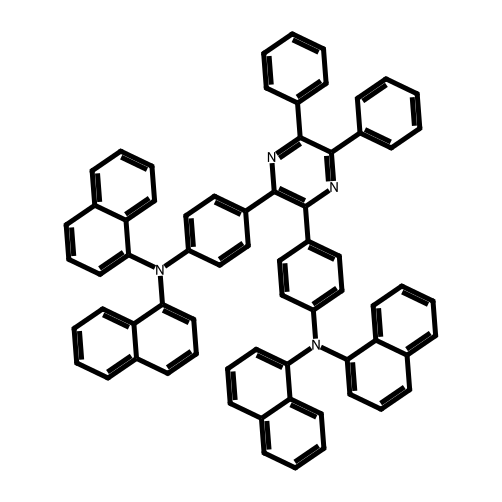 c1ccc(-c2nc(-c3ccc(N(c4cccc5ccccc45)c4cccc5ccccc45)cc3)c(-c3ccc(N(c4cccc5ccccc45)c4cccc5ccccc45)cc3)nc2-c2ccccc2)cc1